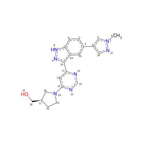 Cn1cc(-c2ccc3[nH]nc(-c4cc(N5CC[C@@H](CO)C5)ncn4)c3c2)cn1